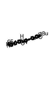 CC(C)(C)OC(=O)N1CCC(N2CCC(C#Cc3ccc(C(=O)Nc4ccc(C5CCN(C6=Nn7c(nnc7C(F)(F)F)CC6)CC5)cc4)nc3)CC2)CC1